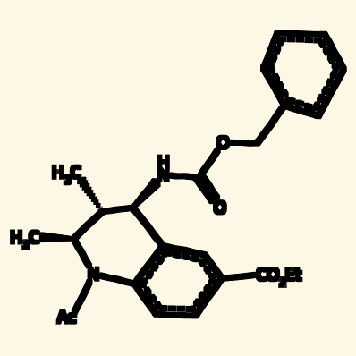 CCOC(=O)c1ccc2c(c1)[C@H](NC(=O)OCc1ccccc1)[C@@H](C)[C@H](C)N2C(C)=O